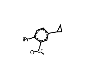 CC(C)c1ccc(C2CC2)cc1[S+](C)[O-]